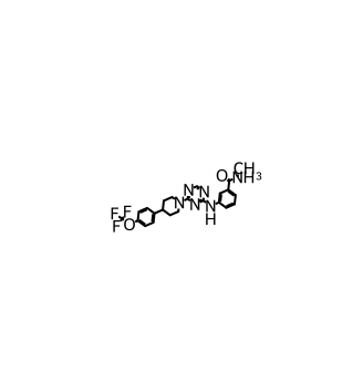 CNC(=O)c1cccc(Nc2ncnc(N3CCC(c4ccc(OC(F)(F)F)cc4)CC3)n2)c1